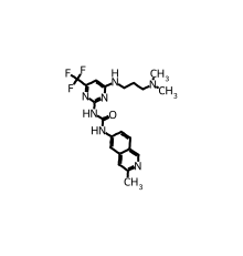 Cc1cc2cc(NC(=O)Nc3nc(NCCCN(C)C)cc(C(F)(F)F)n3)ccc2cn1